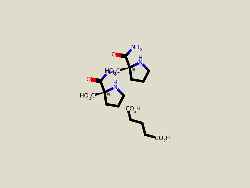 NC(=O)[C@@]1(C(=O)O)CCCN1.NC(=O)[C@@]1(C(=O)O)CCCN1.O=C(O)CCCC(=O)O